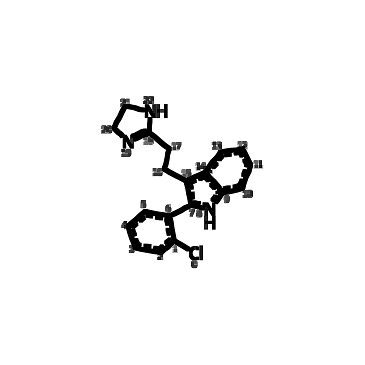 Clc1ccccc1-c1[nH]c2ccccc2c1CCC1=NCCN1